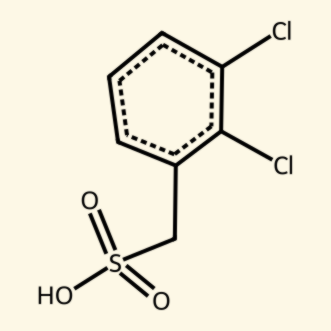 O=S(=O)(O)Cc1cccc(Cl)c1Cl